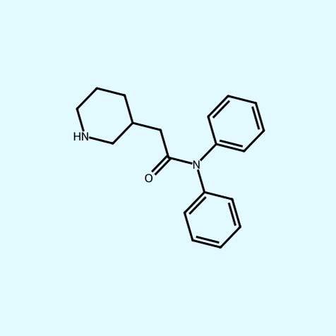 O=C(CC1CCCNC1)N(c1ccccc1)c1ccccc1